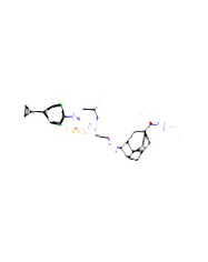 CC1CN(CC(=O)NC2C3CC4CC2CC(C(N)=O)(C4)C3)S(=O)(=O)N(c2c(Cl)cc(C3CC3)cc2Cl)C1